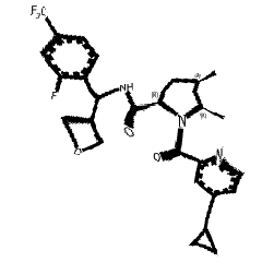 C[C@@H]1C[C@H](C(=O)NC(c2ccc(C(F)(F)F)cc2F)C2COC2)N(C(=O)c2cc(C3CC3)ccn2)[C@@H]1C